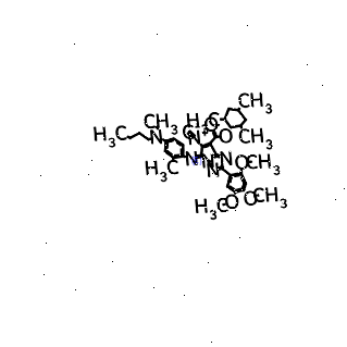 [C-]#[N+]C1=C(C(=O)OC2C(C)CC(C)CC2C)c2nc(-c3cc(OC)c(OC)cc3OC)nn2/C1=N/c1ccc(N(CC)CCCC)cc1C